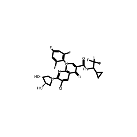 O=C(NC(C1CC1)C(F)(F)F)c1cn(-c2c(F)cc(F)cc2F)c2nc(N3C[C@@H](O)[C@H](O)C3)c(Cl)cc2c1=O